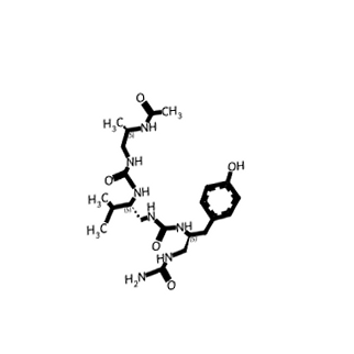 CC(=O)N[C@@H](C)CNC(=O)N[C@H](CNC(=O)N[C@H](CNC(N)=O)Cc1ccc(O)cc1)C(C)C